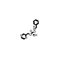 O=P(O)(OCc1cnccn1)ONCc1ccccc1